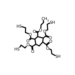 CCCOC(=O)C1C(C(=O)OCCS)C(C(=O)OCCS)CC(C(=O)OCCS)C1C(=O)OCCS